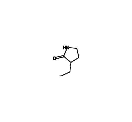 [CH2]CC1CCNC1=O